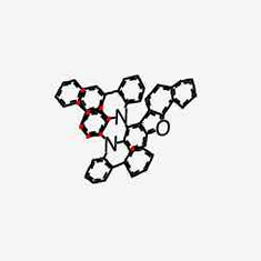 c1ccc(-c2ccc(N(c3ccccc3-c3ccccc3)c3ccc4oc5c6ccccc6ccc5c4c3N(c3ccccc3)c3ccccc3-c3ccccc3)cc2)cc1